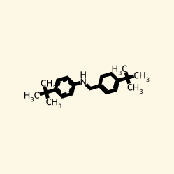 CC(C)(C)C1=CC=C(CNc2ccc(C(C)(C)C)cc2)CC1